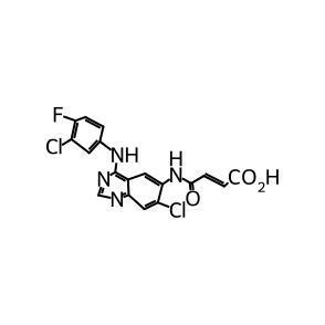 O=C(O)C=CC(=O)Nc1cc2c(Nc3ccc(F)c(Cl)c3)ncnc2cc1Cl